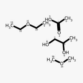 CC(=O)O.CC(O)CO.CCOCC.COC